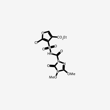 CCOC(=O)c1coc(Cl)c1S(=O)(=O)NC(=O)n1nc(OC)n(OC)c1=O